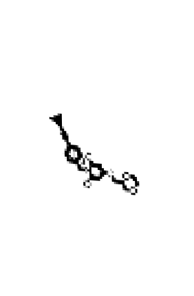 Cc1cc(OCC2COCCO2)cc(=O)n1Cc1ccc(C#CC2CC2)cc1